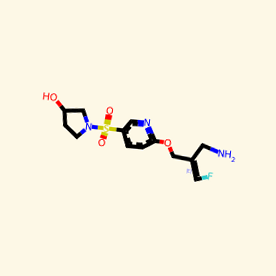 NC/C(=C\F)COc1ccc(S(=O)(=O)N2CCC(O)C2)cn1